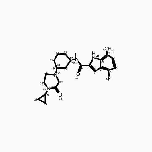 Cc1ccc(F)c2cc(C(=O)N[C@@H]3CCC[C@H](N4CCN(C5CC5)C(=O)C4)C3)[nH]c12